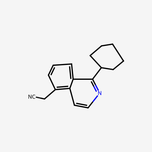 N#CCc1cccc2c(C3CCCCC3)nccc12